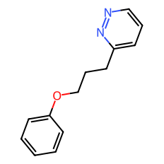 c1ccc(OCCCc2cccnn2)cc1